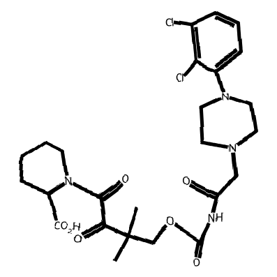 CC(C)(COC(=O)NC(=O)CN1CCN(c2cccc(Cl)c2Cl)CC1)C(=O)C(=O)N1CCCCC1C(=O)O